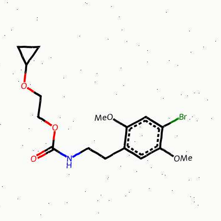 COc1cc(CCNC(=O)OCCOC2CC2)c(OC)cc1Br